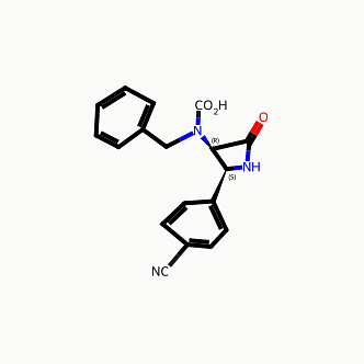 N#Cc1ccc([C@@H]2NC(=O)[C@@H]2N(Cc2ccccc2)C(=O)O)cc1